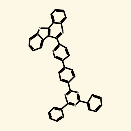 c1ccc(-c2nc(-c3ccccc3)nc(-c3ccc(-c4ccc(-c5nc6ccccc6c6sc7ccccc7c56)nc4)cc3)n2)cc1